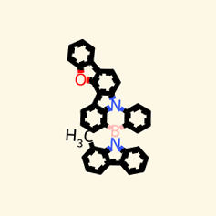 Cc1cccc2c3ccccc3n(B3c4ccccc4-n4c5ccc6c7ccccc7oc6c5c5cccc3c54)c12